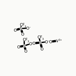 O=S(=O)([O-])C(F)(F)F.O=S(=O)([O-])C(F)(F)F.O=S(=O)([O-])C(F)(F)F.[O]=[V+3]